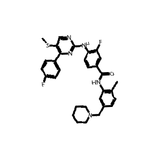 CSc1cnc(Nc2ccc(C(=O)Nc3cc(CN4CCCCC4)ccc3C)cc2F)nc1-c1ccc(F)cc1